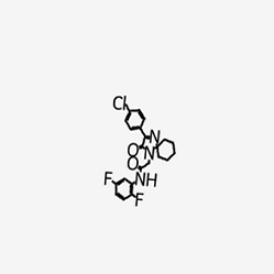 O=C(CN1C(=O)C(c2ccc(Cl)cc2)=NC12CCCCC2)Nc1cc(F)ccc1F